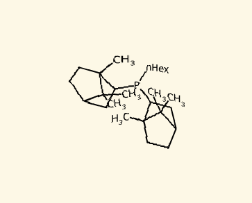 CCCCCCP(C1CC2CCC1(C)C2(C)C)C1CC2CCC1(C)C2(C)C